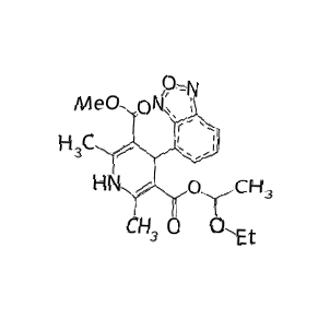 CCOC(C)OC(=O)C1=C(C)NC(C)=C(C(=O)OC)C1c1cccc2nonc12